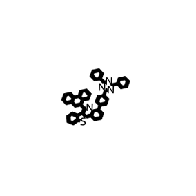 c1ccc(-c2nc(-c3ccccc3)nc(-c3ccc(-c4cccc5c4nc(-c4cc6ccccc6c6ccccc46)c4c6ccccc6sc54)cc3)n2)cc1